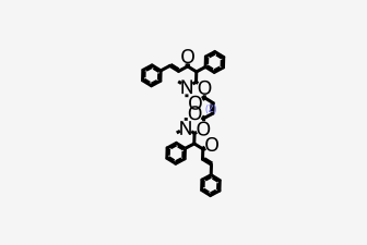 CN(C)C(OC(=O)/C=C\C(=O)OC(C(C(=O)C=Cc1ccccc1)c1ccccc1)N(C)C)C(C(=O)C=Cc1ccccc1)c1ccccc1